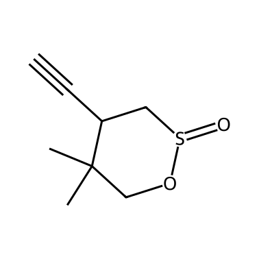 C#CC1CS(=O)OCC1(C)C